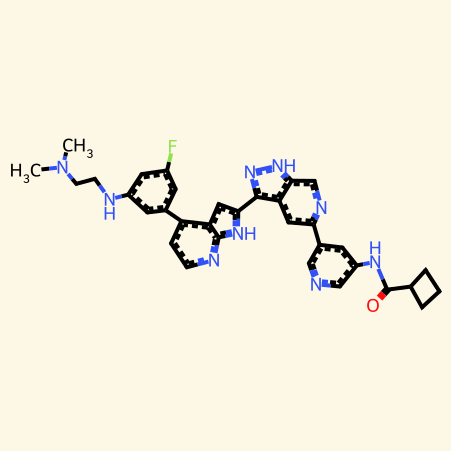 CN(C)CCNc1cc(F)cc(-c2ccnc3[nH]c(-c4n[nH]c5cnc(-c6cncc(NC(=O)C7CCC7)c6)cc45)cc23)c1